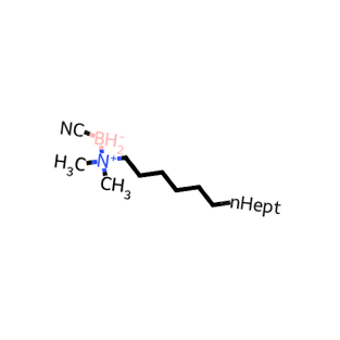 CCCCCCCCCCCCC[N+](C)(C)[BH2-]C#N